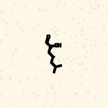 CC(C)C[CH]CN(O)C=O